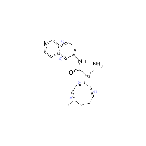 C=C(/C=c1/ccnc/c1=C/C)NC(=O)[C@H](CN)C1=C/C=C(/C)CC/C=C\1